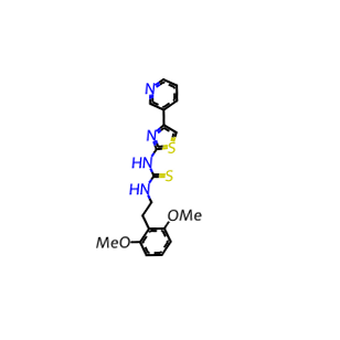 COc1cccc(OC)c1CCNC(=S)Nc1nc(-c2cccnc2)cs1